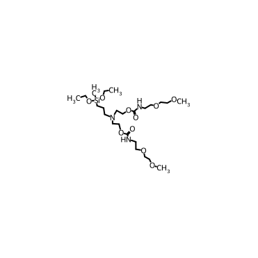 CCO[Si](C)(CCCN(CCOC(=O)NCCOCCOC)CCOC(=O)NCCOCCOC)OCC